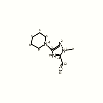 Cn1nc(N2CCCCC2)nc1C=O